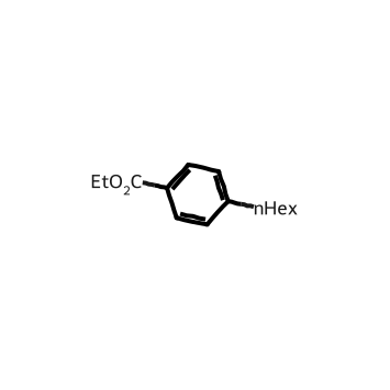 CCCCCCc1ccc(C(=O)OCC)cc1